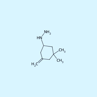 C=C1CC(NN)CC(C)(C)C1